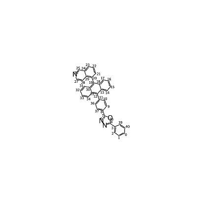 c1ccc(-c2nnc(-c3ccc(-c4c5ccccc5c(-c5cccc6cnccc56)c5ccccc45)cc3)o2)cc1